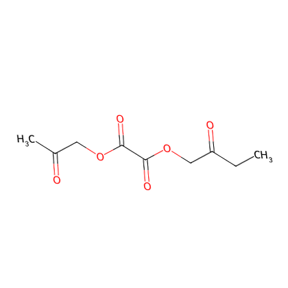 CCC(=O)COC(=O)C(=O)OCC(C)=O